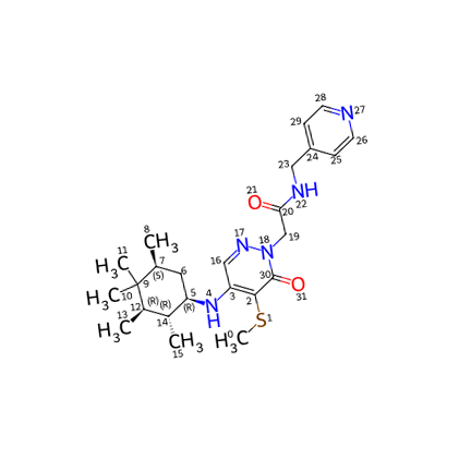 CSc1c(N[C@@H]2C[C@H](C)C(C)(C)[C@H](C)[C@H]2C)cnn(CC(=O)NCc2ccncc2)c1=O